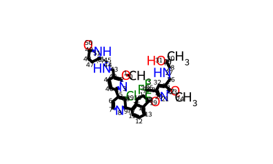 COc1nc(-c2ccnc(-c3cccc4c3CC[C@H]4Oc3nc(OC)c(CNC[C@@H](C)O)cc3C(F)(F)F)c2Cl)ccc1CNC[C@@H]1CCC(=O)N1